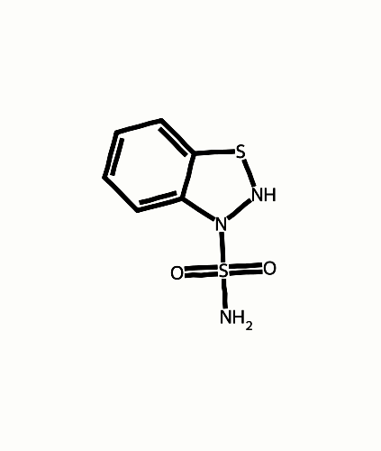 NS(=O)(=O)N1NSc2ccccc21